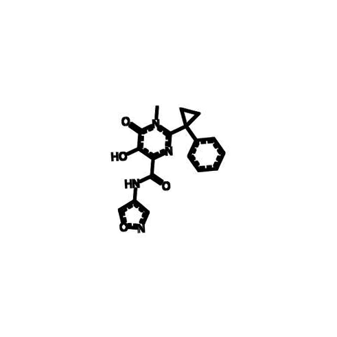 Cn1c(C2(c3ccccc3)CC2)nc(C(=O)Nc2cnoc2)c(O)c1=O